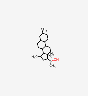 CC1CCC2C(CCC3C2CCC2(C)C(C(C)O)CC(C)C32)C1